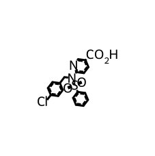 O=C(O)c1ccc(N(Cc2ccc(Cl)cc2)S(=O)(=O)c2ccccc2)nc1